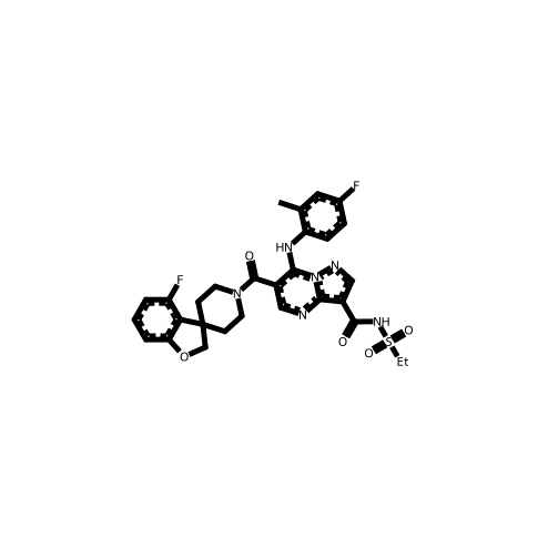 CCS(=O)(=O)NC(=O)c1cnn2c(Nc3ccc(F)cc3C)c(C(=O)N3CCC4(CC3)COc3cccc(F)c34)cnc12